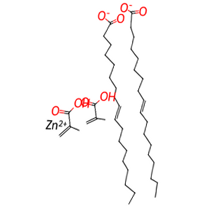 C=C(C)C(=O)O.C=C(C)C(=O)O.CCCCCCCC/C=C/CCCCCCCC(=O)[O-].CCCCCCCC/C=C/CCCCCCCC(=O)[O-].[Zn+2]